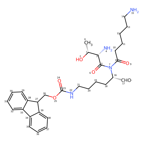 C[C@@H](O)[C@H](N)C(=O)N(C(=O)CCCCCN)[C@H]([C]=O)CCCCNC(=O)OCC1c2ccccc2-c2ccccc21